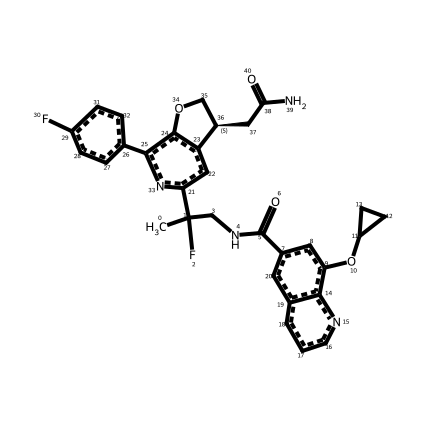 CC(F)(CNC(=O)c1cc(OC2CC2)c2ncccc2c1)c1cc2c(c(-c3ccc(F)cc3)n1)OC[C@H]2CC(N)=O